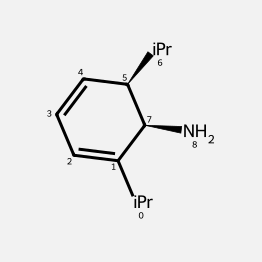 CC(C)C1=CC=C[C@@H](C(C)C)[C@H]1N